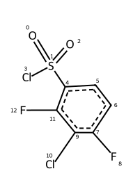 O=S(=O)(Cl)c1ccc(F)c(Cl)c1F